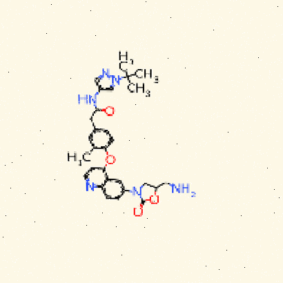 Cc1cc(CC(=O)Nc2cnn(C(C)(C)C)c2)ccc1Oc1ccnc2ccc(N3CC(CN)OC3=O)cc12